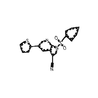 N#Cc1cn(S(=O)(=O)c2ccccc2)c2ncc(-c3cccs3)cc12